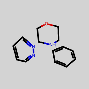 C1COCCN1.c1ccccc1.c1ccnnc1